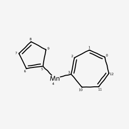 C1=CC=[C]([Mn][C]2=CC=CC2)CC=C1